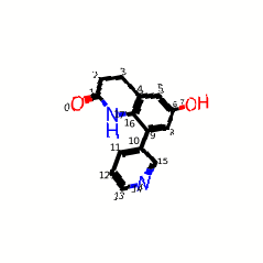 O=C1CCc2cc(O)cc(-c3cccnc3)c2N1